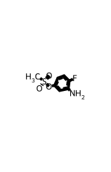 CS(=O)(=O)Oc1ccc(F)c(N)c1